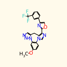 COc1ccc2c(c1)-n1nncc1Cc1c(-c3nc(-c4cccc(C(F)(F)F)c4)co3)ncn1-2